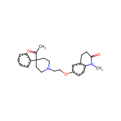 CC(=O)C1(c2ccccc2)CCN(CCOc2ccc3c(c2)CCC(=O)N3C)CC1